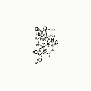 COC(=O)[C@@H]1CCC(=O)[C@@H]2[C@@]3(C)CCOC(=O)[C@H]3CC[C@]21C